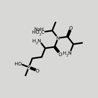 CC(N)C(=O)N(C(=O)C(N)CCP(C)(=O)O)C(C)C(=O)O.[NaH]